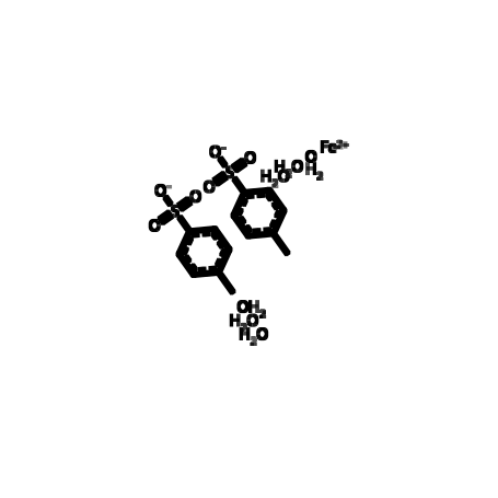 Cc1ccc(S(=O)(=O)[O-])cc1.Cc1ccc(S(=O)(=O)[O-])cc1.O.O.O.O.O.O.[Fe+2]